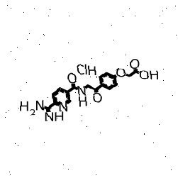 Cl.N=C(N)c1ccc(C(=O)NCC(=O)c2ccc(OCC(=O)O)cc2)cn1